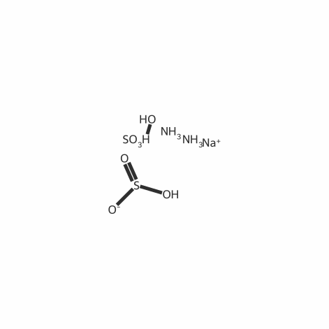 N.N.O=S(=O)(O)O.O=S([O-])O.[Na+]